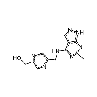 Cc1nc(NCc2cnc(CO)cn2)c2cn[nH]c2n1